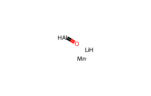 [LiH].[Mn].[O]=[AlH]